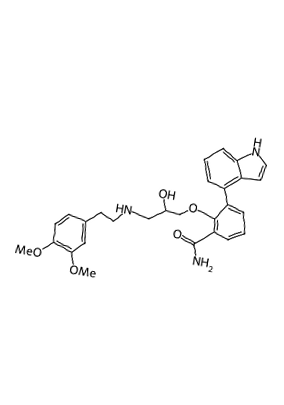 COc1ccc(CCNCC(O)COc2c(C(N)=O)cccc2-c2cccc3[nH]ccc23)cc1OC